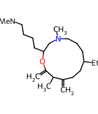 C=C1CCC(CC)CCCN(C)CC(CCCCNC)OC(=C)C1C